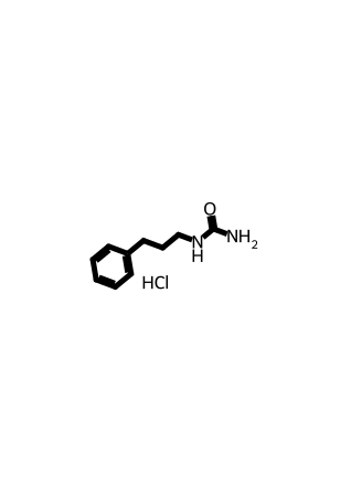 Cl.NC(=O)NCCCc1ccccc1